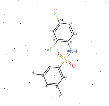 Cc1cc(C)cc(S(=O)(=O)Nc2ccc(F)cc2F)c1